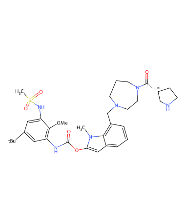 COc1c(NC(=O)Oc2cc3cccc(CN4CCCN(C(=O)[C@@H]5CCNC5)CC4)c3n2C)cc(C(C)(C)C)cc1NS(C)(=O)=O